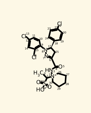 CC([N+]1(NC(=O)C2=NN(c3ccc(Cl)cc3Cl)[C@@H](c3ccc(Cl)cc3)C2)CCCCC1)S(=O)(=O)O